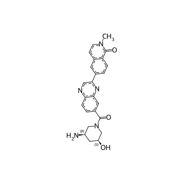 Cn1ccc2cc(-c3cnc4ccc(C(=O)N5C[C@H](N)C[C@H](O)C5)cc4n3)ccc2c1=O